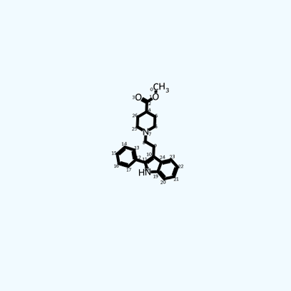 COC(=O)C1CCN(CCc2c(-c3ccccc3)[nH]c3ccccc23)CC1